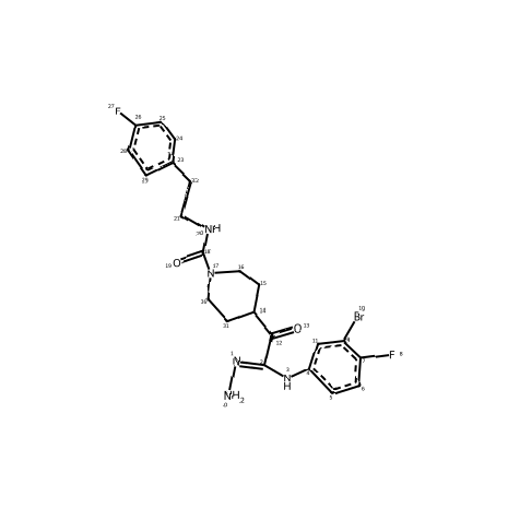 N/N=C(\Nc1ccc(F)c(Br)c1)C(=O)C1CCN(C(=O)NCCc2ccc(F)cc2)CC1